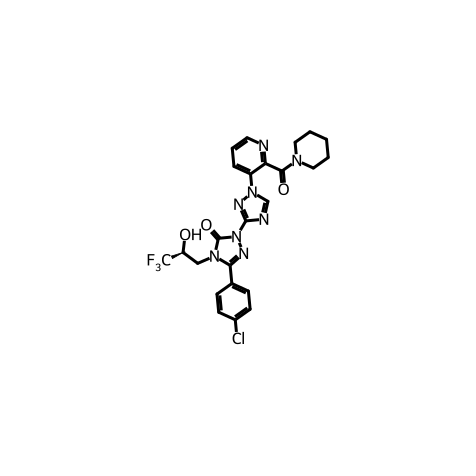 O=C(c1ncccc1-n1cnc(-n2nc(-c3ccc(Cl)cc3)n(C[C@H](O)C(F)(F)F)c2=O)n1)N1CCCCC1